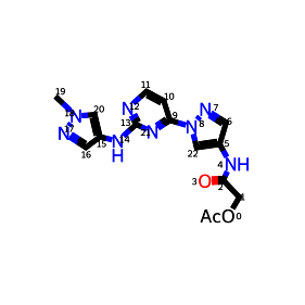 CC(=O)OCC(=O)Nc1cnn(-c2ccnc(Nc3cnn(C)c3)n2)c1